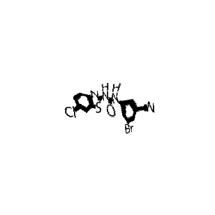 N#Cc1cc(Br)cc(NC(=O)Nc2nc3ccc(Cl)cc3s2)c1